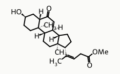 COC(=O)C/C=C(/C)[C@H]1CC[C@H]2[C@@H]3CC(=O)[C@H]4C[C@H](O)CC[C@]4(C)[C@H]3CC[C@]12C